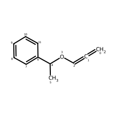 C=C=COC(C)c1ccccc1